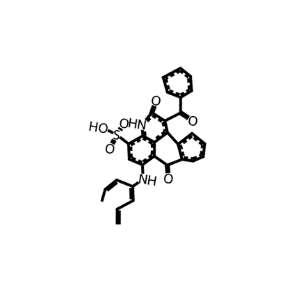 C=C/C=C(\C=C/C)Nc1cc(S(=O)(=O)O)c2[nH]c(=O)c(C(=O)c3ccccc3)c3c2c1C(=O)c1ccccc1-3